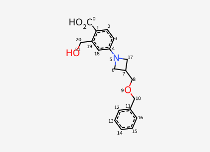 O=C(O)c1ccc(N2CC(COCc3ccccc3)C2)cc1CO